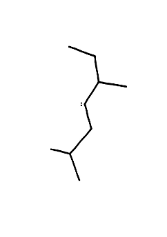 CCC(C)[C]CC(C)C